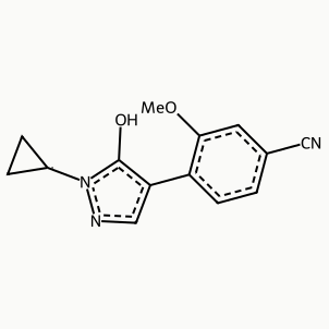 COc1cc(C#N)ccc1-c1cnn([C]2CC2)c1O